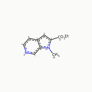 CCOC(=O)c1cc2ccncc2n1C